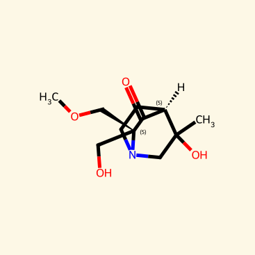 COC[C@@]1(CO)C(=O)[C@H]2CCN1CC2(C)O